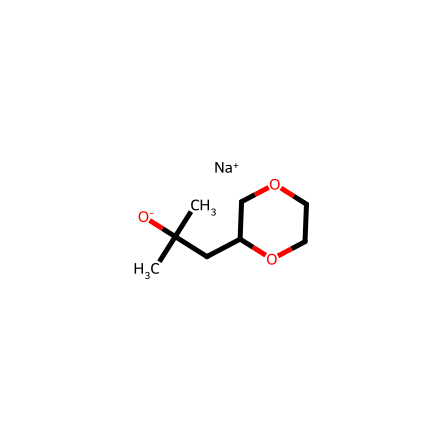 CC(C)([O-])CC1COCCO1.[Na+]